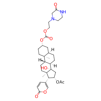 CC(=O)O[C@H]1C[C@]2(O)[C@@H]3CC[C@@H]4C[C@@H](OC(=O)OCCN5CCNC(=O)C5)CC[C@]4(C)[C@H]3CC[C@]2(C)[C@H]1c1ccc(=O)oc1